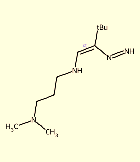 CN(C)CCCN/C=C(\N=N)C(C)(C)C